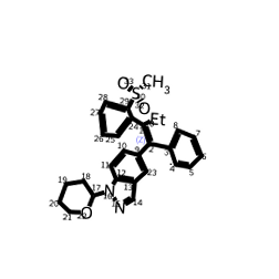 CC/C(=C(\c1[c]cccc1)c1ccc2c(cnn2C2CCCCO2)c1)c1ccccc1S(C)(=O)=O